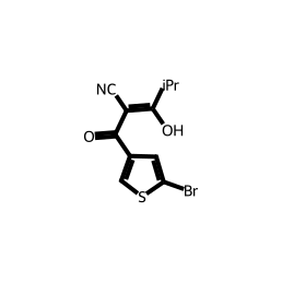 CC(C)C(O)=C(C#N)C(=O)c1csc(Br)c1